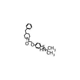 CC(C)NSc1ccc(OCC(=O)N2CCC(Cc3ccccc3)CC2)cc1